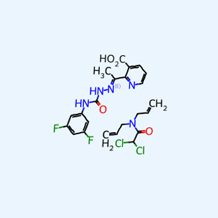 C/C(=N\NC(=O)Nc1cc(F)cc(F)c1)c1ncccc1C(=O)O.C=CCN(CC=C)C(=O)C(Cl)Cl